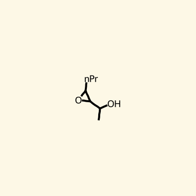 CCCC1OC1C(C)O